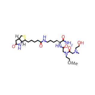 COCCN(CC(=O)N[C@@H](CCCCNC(=O)CCCCC1SC[C@@H]2CC(=O)N[C@H]12)C(N)=O)C(=O)CN(C)CCO